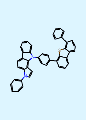 c1ccc(-c2cccc3c2sc2c(-c4ccc(-n5c6ccccc6c6ccc7c(ccn7-c7ccccc7)c65)cc4)cccc23)cc1